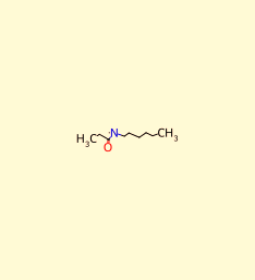 CCCCCC[N]C(=O)CC